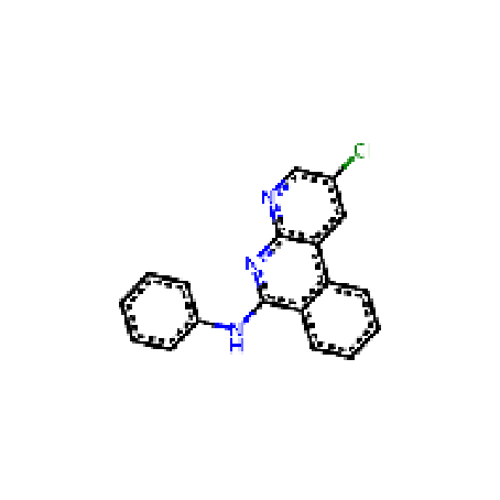 Clc1cnc2nc(Nc3ccccc3)c3ccccc3c2c1